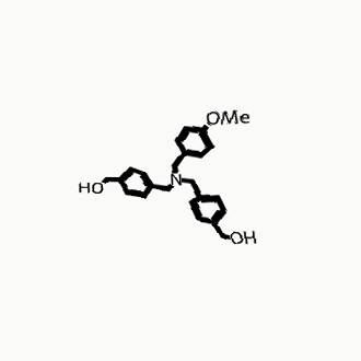 COc1ccc(CN(Cc2ccc(CO)cc2)Cc2ccc(CO)cc2)cc1